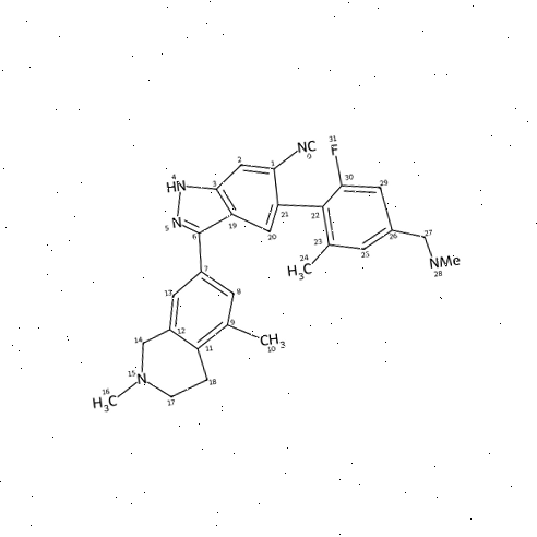 [C-]#[N+]c1cc2[nH]nc(-c3cc(C)c4c(c3)CN(C)CC4)c2cc1-c1c(C)cc(CNC)cc1F